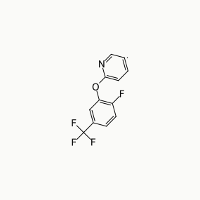 Fc1ccc(C(F)(F)F)cc1Oc1cc[c]cn1